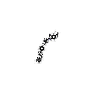 Fc1cc(C(F)(F)F)ccc1/C=C/c1nc(COc2ccc(-c3nc(Cn4ccnn4)cs3)cc2)co1